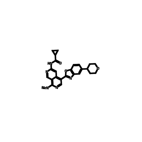 CNc1ncc(-c2nc3cc(C4CCOCC4)ccc3o2)c2cc(NC(=O)C3CC3)ncc12